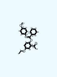 CCOc1ccc(OC(=Nc2ccc(OC)cc2)c2ccccc2)c(C(C)=O)c1